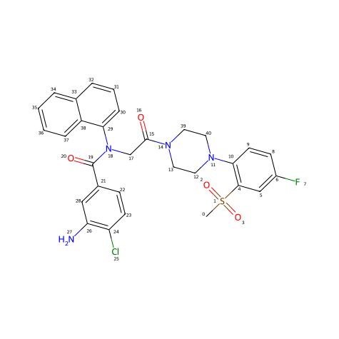 CS(=O)(=O)c1cc(F)ccc1N1CCN(C(=O)CN(C(=O)c2ccc(Cl)c(N)c2)c2cccc3ccccc23)CC1